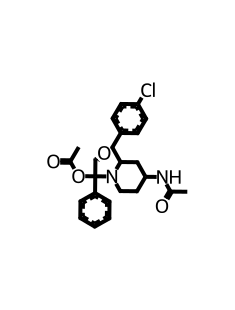 CC(=O)NC1CCN(C(C=O)(OC(C)=O)c2ccccc2)C(Cc2ccc(Cl)cc2)C1